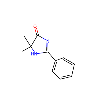 CC1(C)NC(c2ccccc2)=NC1=O